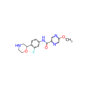 COc1cnc(C(=O)Nc2ccc(C3CNCCO3)c(F)c2)cn1